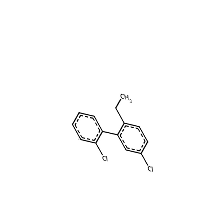 CCc1ccc(Cl)cc1-c1ccc[c]c1Cl